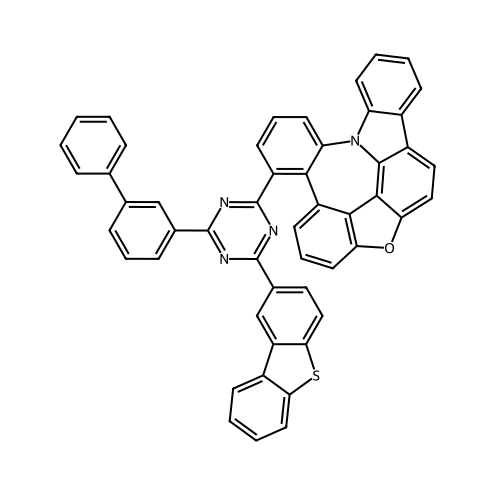 c1ccc(-c2cccc(-c3nc(-c4ccc5sc6ccccc6c5c4)nc(-c4cccc5c4c4cccc6oc7ccc8c9ccccc9n5c8c7c64)n3)c2)cc1